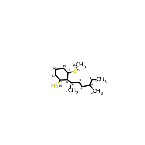 CCC(C)CC[C@@H](C)C1C(S)CCCC1SC